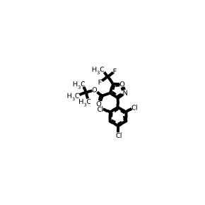 CC(C)(C)OC(=O)c1c(-c2c(Cl)cc(Cl)cc2Cl)noc1C(C)(F)F